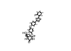 O=C(O)CC1(Oc2ccc(Oc3ccc(-c4nc(-c5ccccc5F)no4)cc3)cc2)C(=O)NC(=O)NC1=O